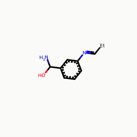 CCC=Nc1cccc(C(N)O)c1